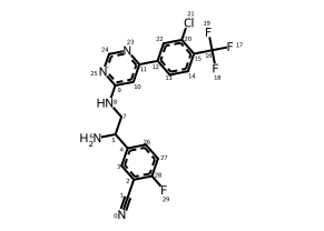 N#Cc1cc(C(N)CNc2cc(-c3ccc(C(F)(F)F)c(Cl)c3)ncn2)ccc1F